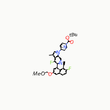 C#Cc1c(F)ccc2cc(OCOC)cc(-c3ncc4c(c(C)cn4C4CC5CCC4CN5C(=O)OC(C)(C)C)c3F)c12